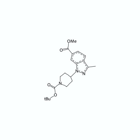 COC(=O)c1ccc2c(C)nn(C3CCN(C(=O)OC(C)(C)C)CC3)c2c1